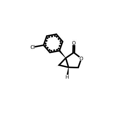 O=C1OC[C@@H]2C[C@]12c1cccc(Cl)c1